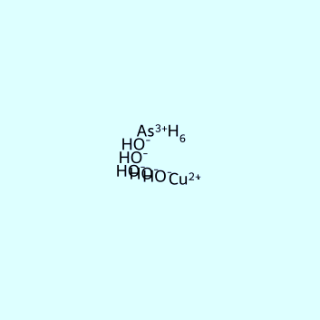 [AsH6+3].[Cu+2].[OH-].[OH-].[OH-].[OH-].[OH-]